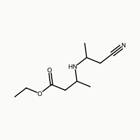 CCOC(=O)CC(C)NC(C)CC#N